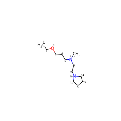 CCOCCCN(C)CCN1CCCC1